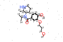 COCCCOc1cc(C(=O)N(C(C)C)[C@@H]2CCCN[C@@H]2C)ccc1OC